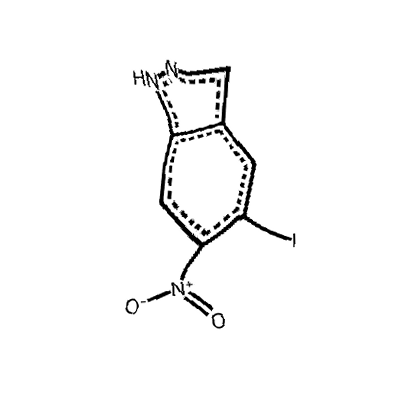 O=[N+]([O-])c1cc2[nH]ncc2cc1I